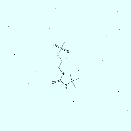 CC1(C)CN(CCOS(C)(=O)=O)C(=O)N1